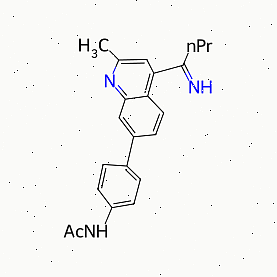 CCCC(=N)c1cc(C)nc2cc(-c3ccc(NC(C)=O)cc3)ccc12